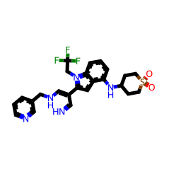 N=C/C(=C\NCc1cccnc1)c1cc2c(NC3CCS(=O)(=O)CC3)cccc2n1CC(F)(F)F